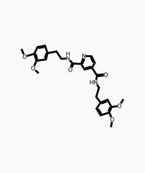 COc1ccc(CCNC(=O)c2ccnc(C(=O)NCCc3ccc(OC)c(OC)c3)c2)cc1OC